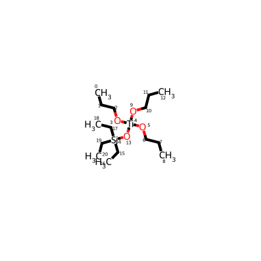 CCC[O][Ti]([O]CCC)([O]CCC)[O][Si](CC)(CC)CC